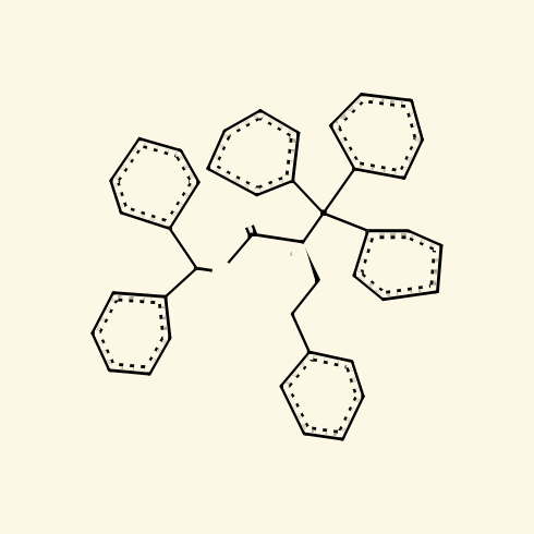 O=C(OC(c1ccccc1)c1ccccc1)[C@H](CCc1ccccc1)C(c1ccccc1)(c1ccccc1)c1ccccc1